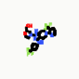 OCC1CN(C2N=C(Nc3ccc(C(F)(F)F)cc3)C3=C(CCN(c4ncccc4C(F)(F)F)CC3)N2)CCO1